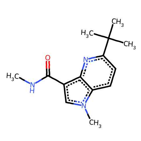 CNC(=O)c1cn(C)c2ccc(C(C)(C)C)nc12